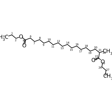 CCCOC(=O)CCCCCCCCCCCCCCCC(C)C(=O)OCCC